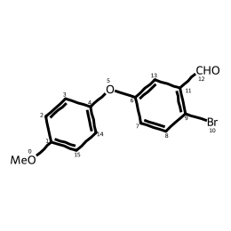 COc1ccc(Oc2ccc(Br)c(C=O)c2)cc1